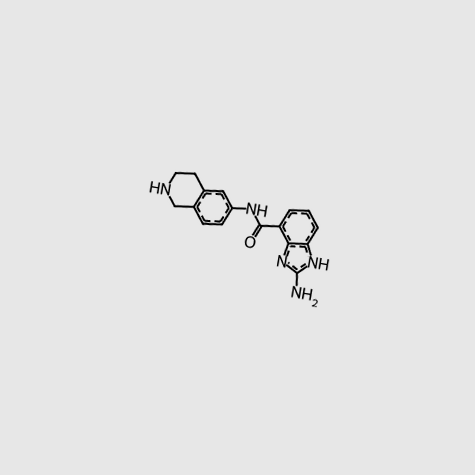 Nc1nc2c(C(=O)Nc3ccc4c(c3)CCNC4)cccc2[nH]1